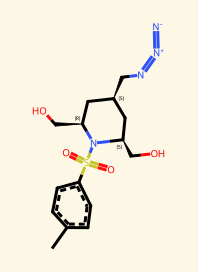 Cc1ccc(S(=O)(=O)N2[C@H](CO)C[C@H](CN=[N+]=[N-])C[C@@H]2CO)cc1